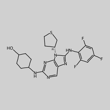 OC1CCC(Nc2ncc3nc(Nc4c(F)cc(F)cc4F)n([C@@H]4CCSC4)c3n2)CC1